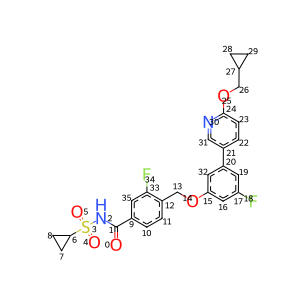 O=C(NS(=O)(=O)C1CC1)c1ccc(COc2cc(F)cc(-c3ccc(OCC4CC4)nc3)c2)c(F)c1